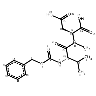 CC(C)[C@H](NC(=O)OCc1ccccc1)C(=O)N(C)[C@@H](CC(=O)O)C(=O)O